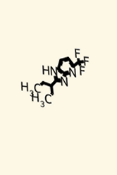 CCC(CC)c1nc2nc(C(F)(F)F)ccc2[nH]1